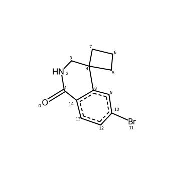 O=C1NCC2(CCC2)c2cc(Br)ccc21